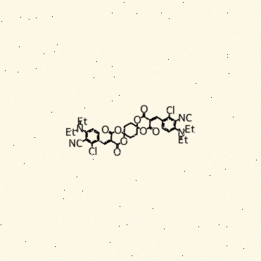 [C-]#[N+]c1c(N(CC)CC)ccc(C=C2C(=O)OC3(CCC4(CC3)OC(=O)C(=Cc3ccc(N(CC)CC)c(C#N)c3Cl)C(=O)O4)OC2=O)c1Cl